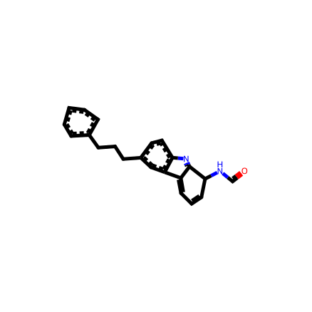 O=CNC1C=CC=C2C1=Nc1ccc(CCCc3ccccc3)cc12